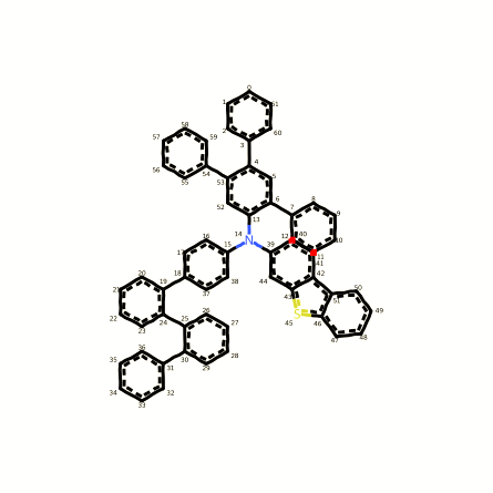 c1ccc(-c2cc(-c3ccccc3)c(N(c3ccc(-c4ccccc4-c4ccccc4-c4ccccc4)cc3)c3ccc4c(c3)sc3ccccc34)cc2-c2ccccc2)cc1